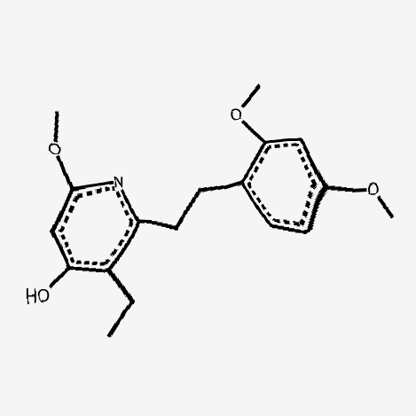 CCc1c(O)cc(OC)nc1CCc1ccc(OC)cc1OC